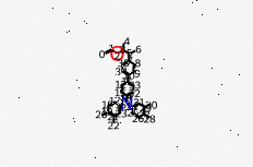 C=COC(C)C(C)c1ccc(-c2ccc(N(c3ccc(C)c(C)c3)c3ccc(C)c(C)c3)cc2)cc1